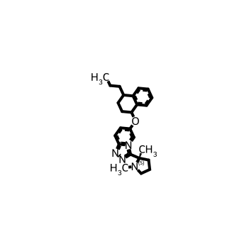 CCCC1CCC(Oc2ccc3nnc([C@]4(C)CCCN4C)n3c2)c2ccccc21